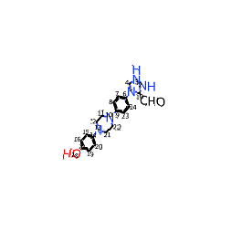 O=CC1NNCN1c1ccc(N2CCN(c3ccc(O)cc3)CC2)cc1